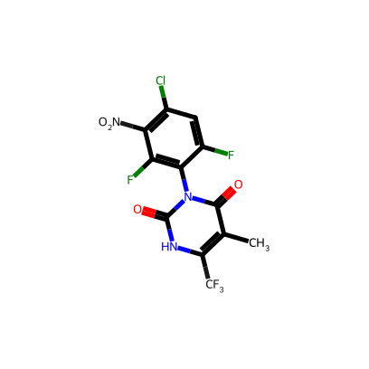 Cc1c(C(F)(F)F)[nH]c(=O)n(-c2c(F)cc(Cl)c([N+](=O)[O-])c2F)c1=O